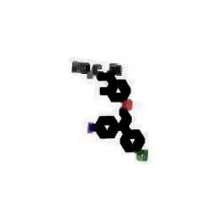 CCC(CC(=O)O)c1ccc(OC/C=C(/c2ccc(Cl)cc2)c2ccc(I)cc2)cc1C